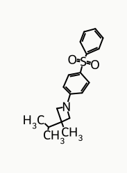 CC(C)C1(C)CN(c2ccc(S(=O)(=O)c3ccccc3)cc2)C1